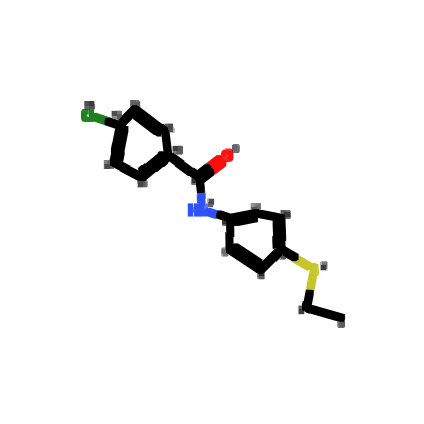 CCSc1ccc(NC(=O)c2ccc(Cl)cc2)cc1